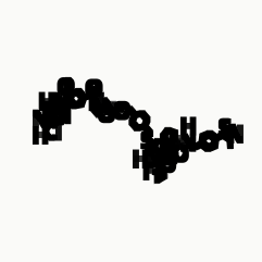 CNc1nc(Nc2ccc(C(=O)N3CCO[C@@H](COCC4CCC(CSC(C)(C)[C@H](NC(=O)C5(F)CC5)C(=O)N5CCC[C@H]5C(=O)NCc5ccc(-c6scnc6C)cc5)CC4)C3)cc2OC)ncc1Cl